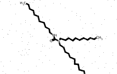 CCCCCCCCCCCNC(=O)N(CCCCCCCCCCC)CCCCCCCCCCC